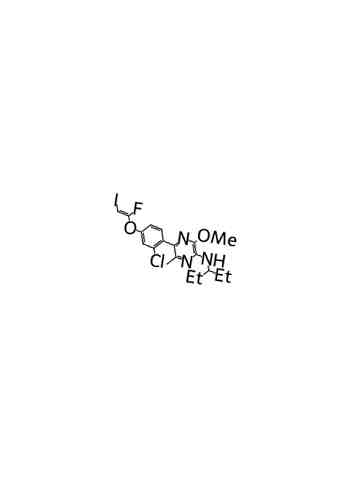 CCC(CC)Nc1nc(C)c(-c2ccc(OC(F)=CI)cc2Cl)nc1OC